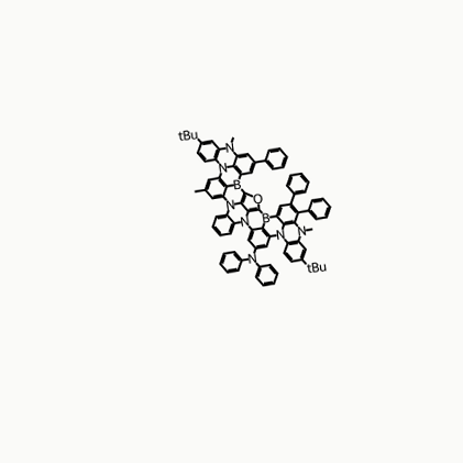 Cc1cc2c3c(c1)N1c4ccccc4N4c5cc(N(c6ccccc6)c6ccccc6)cc6c5B(c5cc(-c7ccccc7)c(-c7ccccc7)c7c5N6c5ccc(C(C)(C)C)cc5N7C)c5oc(c1c54)B3c1cc(-c3ccccc3)cc3c1N2c1ccc(C(C)(C)C)cc1N3C